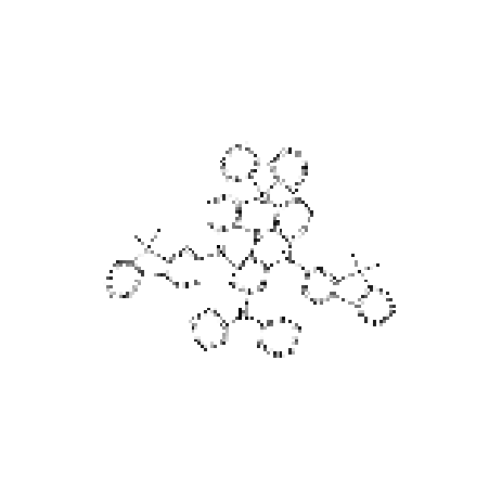 CC1(C)c2ccccc2-c2ccc(N3c4cc(N(c5ccccc5)c5ccccc5)cc5c4B4c6c3cccc6[Si](c3ccccc3)(c3ccccc3)c3cccc(c34)N5c3ccc4c(c3)C(C)(C)c3ccccc3-4)cc21